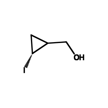 OCC1C[C@H]1I